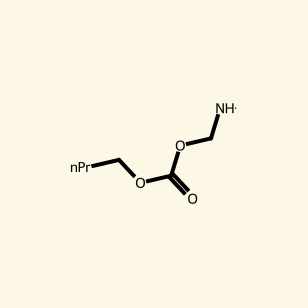 CCCCOC(=O)OC[NH]